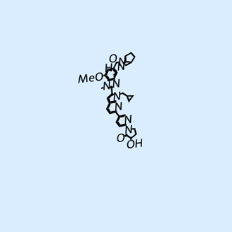 COc1cc(C(=O)N2CC3CCC2C3N)cc2nc(-c3cc4ccc(-c5ccc(N6CCC(O)C6=O)nc5)nc4n3CC3CC3)n(C)c12